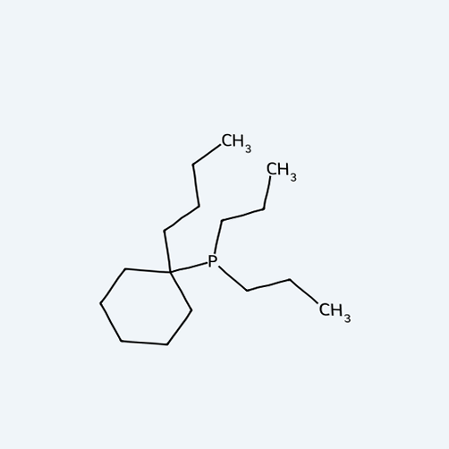 CCCCC1(P(CCC)CCC)CCCCC1